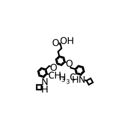 Cc1c(COc2cc(CCC(=O)O)cc(OCc3cccc(NC4CCC4)c3C)c2)cccc1NC1CCC1